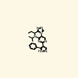 CCC1c2nncn2-c2cnc(-c3cn[nH]c3-c3ccccc3)nc2N1C(C)C